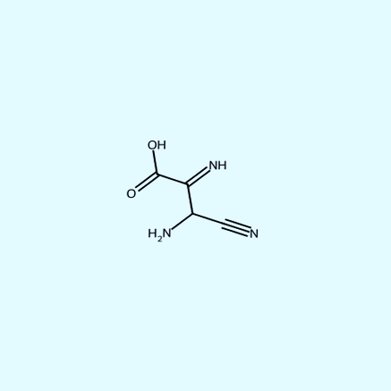 N#CC(N)C(=N)C(=O)O